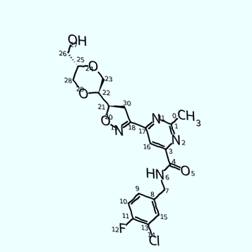 Cc1nc(C(=O)NCc2ccc(F)c(Cl)c2)cc(C2=NO[C@@H]([C@@H]3CO[C@@H](CO)CO3)C2)n1